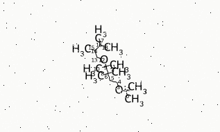 CC(C)OCCC(C)(C)C(C)(C)OCC(C)C(C)C